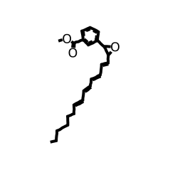 CCCCCCC=CC=CC=CC=CC1OC1c1cccc(C(=O)OC)c1